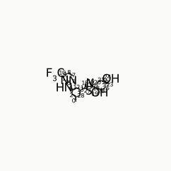 Cc1cc(Nc2nccc(C(F)(F)F)n2)cc(-c2cnc(C3(O)CCC(C)(O)CC3)s2)c1